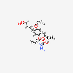 COc1cc(CC(C)OC(N)=O)c(OC)cc1CCCCO